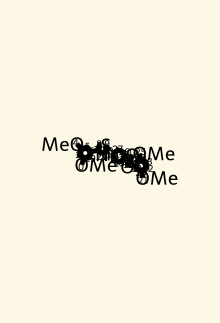 COc1cc(OC)cc(-c2csc(N3CCC(S(=O)(=O)c4cc(OC)ccc4OC)CC3)n2)c1